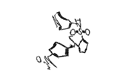 O=[N+]([O-])c1ccc(Sc2ccccc2S(=O)(=O)Nc2ccncc2)cc1